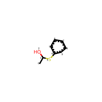 CC(O)Sc1cc[c]cc1